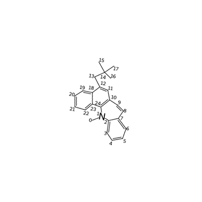 CN1c2ccccc2C=Cc2cc(CC(C)(C)C)c3ccccc3c21